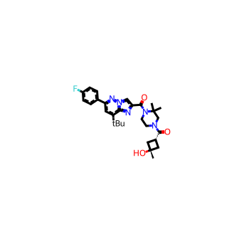 CC(C)(C)c1cc(-c2ccc(F)cc2)nn2cc(C(=O)N3CCN(C(=O)[C@H]4C[C@@](C)(O)C4)CC3(C)C)nc12